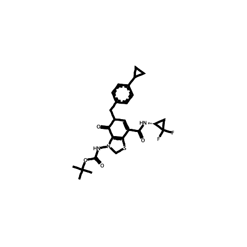 CC(C)(C)OC(=O)NN1CSC2=C1C(=O)C(Cc1ccc(C3CC3)cc1)C=C2C(=O)N[C@@H]1CC1(F)F